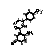 [CH2]c1ccc(N(C=O)NC(=O)c2nc(Br)cnc2N)cc1